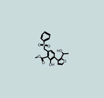 COC(=O)c1c(CS(=O)(=O)c2ccccc2)ccc(-c2ccoc2C(C)O)c1O